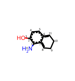 Nc1c(O)ccc2c1=CCCC=2